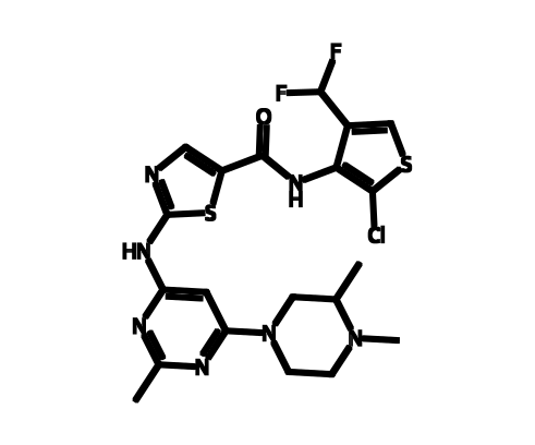 Cc1nc(Nc2ncc(C(=O)Nc3c(C(F)F)csc3Cl)s2)cc(N2CCN(C)C(C)C2)n1